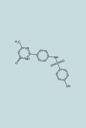 CCCc1ccc(S(=O)(=O)Nc2ccc(-c3nc(C)cc(=O)[nH]3)cc2)cc1